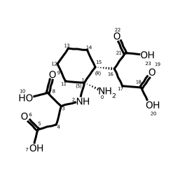 N[C@]1(NC(CC(=O)O)C(=O)O)CCCC[C@@H]1C(CC(=O)O)C(=O)O